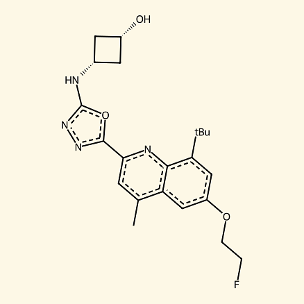 Cc1cc(-c2nnc(N[C@H]3C[C@@H](O)C3)o2)nc2c(C(C)(C)C)cc(OCCF)cc12